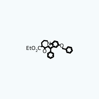 CCOC(=O)C1CCCn2c(c(-c3ccccc3)c3cc(OCc4ccccc4)ccc32)C1=O